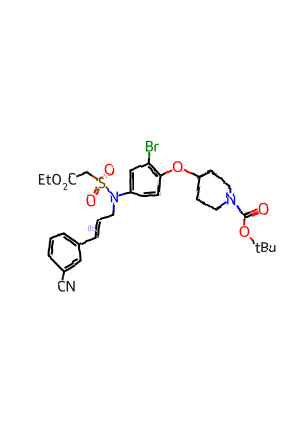 CCOC(=O)CS(=O)(=O)N(C/C=C/c1cccc(C#N)c1)c1ccc(OC2CCN(C(=O)OC(C)(C)C)CC2)c(Br)c1